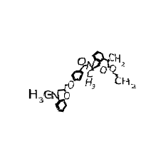 C=CCOC(=O)C(=C)c1cccc2c1cc(C)n2C(=O)c1ccc(OC[C@@H]2CN(C)c3ccccc3O2)cc1